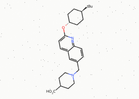 CC(C)(C)[C@H]1CC[C@H](Oc2ccc3cc(CN4CCC(C(=O)O)CC4)ccc3n2)CC1